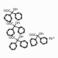 O=C([O-])C(O)(c1ccccc1)c1ccccc1.O=C([O-])C(O)(c1ccccc1)c1ccccc1.O=C([O-])C(O)(c1ccccc1)c1ccccc1.O=C([O-])C(O)(c1ccccc1)c1ccccc1.[Pb+4]